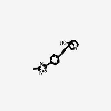 Cc1nsc(-c2ccc(C#CC3(O)CN4CCC3CC4)cc2)n1